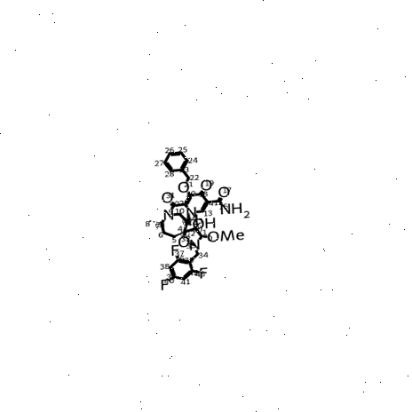 COC1[C@H](O)[C@]2(CC[C@H](C)N3C[C@H]2n2cc(C(N)=O)c(=O)c(OCc4ccccc4)c2C3=O)ON1Cc1c(F)cc(F)cc1F